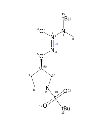 CN(/[N+]([O-])=N/O[C@@H]1CCN(S(=O)(=O)C(C)(C)C)C1)C(C)(C)C